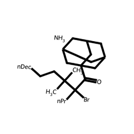 CCCCCCCCCCCCC(C)(C)C(Br)(CCC)C(=O)C12CC3CC(CC(C3)C1)C2.N